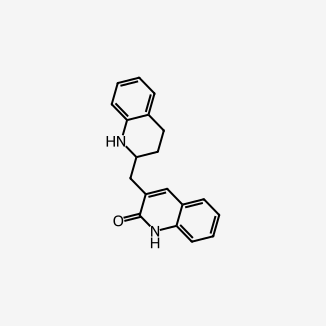 O=c1[nH]c2ccccc2cc1CC1CCc2ccccc2N1